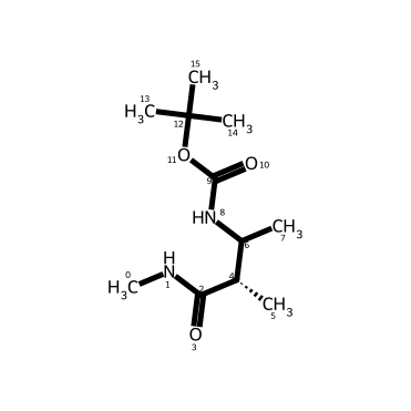 CNC(=O)[C@@H](C)C(C)NC(=O)OC(C)(C)C